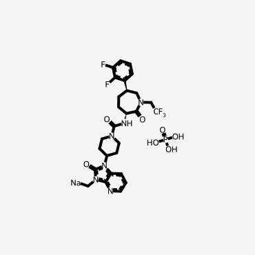 O=C(N[C@@H]1CC[C@@H](c2cccc(F)c2F)CN(CC(F)(F)F)C1=O)N1CCC(n2c(=O)n([CH2][Na])c3ncccc32)CC1.O=P(O)(O)O